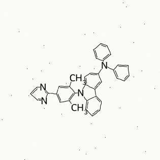 Cc1cc(-c2ncccn2)cc(C)c1-n1c2ccccc2c2cc(N(c3ccccc3)c3ccccc3)ccc21